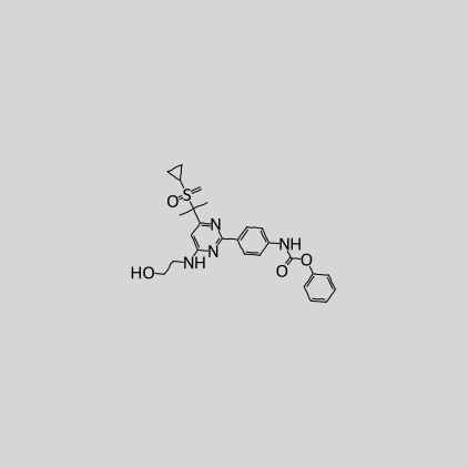 C=S(=O)(C1CC1)C(C)(C)c1cc(NCCO)nc(-c2ccc(NC(=O)Oc3ccccc3)cc2)n1